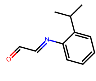 CC(C)c1ccccc1/N=C/C=O